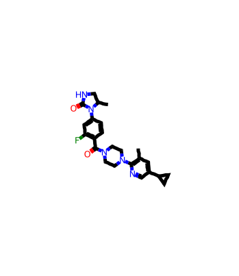 Cc1cc(C2CC2)cnc1N1CCN(C(=O)c2ccc(N3C(=O)NCC3C)cc2F)CC1